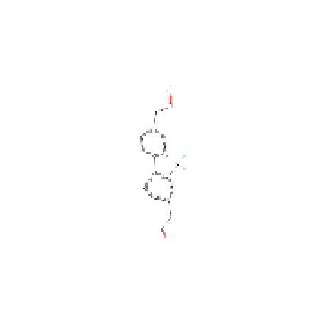 O=CCc1ccc2c(c1)C(F)(F)c1cc(CC=O)ccc1-2